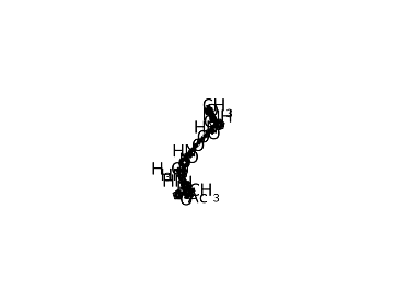 CC(=O)c1c(C)c2cnc(NC3=CC=C(N4CCN(CC(=O)NCCOCCOCCC(=O)Nc5ccccc5C(=O)Nc5ncc(C)o5)CC4)C(C)N3)nc2n(C2CCCC2)c1=O